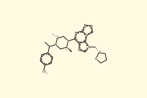 CC(c1ccc(C(F)(F)F)cc1)N1C[C@H](C)N(c2nc3nncn3c3c2ncn3C[C@@H]2CCCO2)C[C@H]1C